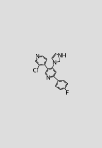 Fc1ccc(-c2cc(N3C=CNC3)c(-c3ccncc3Cl)cn2)cc1